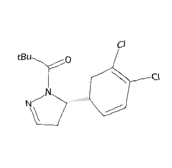 CC(C)(C)C(=O)N1N=CC[C@H]1C1C=CC(Cl)=C(Cl)C1